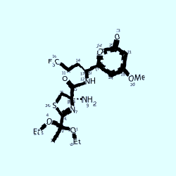 CCOC(C)(OCC)C1=N[C@](N)(C(=O)N[C@@H](CCC(F)(F)F)c2cc(OC)cc(=O)o2)CS1